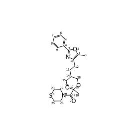 Cc1oc(-c2ccccc2)nc1CCC1COC(C)(C(=O)N2CCSCC2)OC1